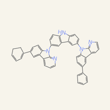 C1=CCCC(c2ccc3c(c2)c2cccnc2n3-c2ccc3[nH]c4ccc(-n5c6ccc(-c7ccccc7)cc6c6cccnc65)cc4c3c2)=C1